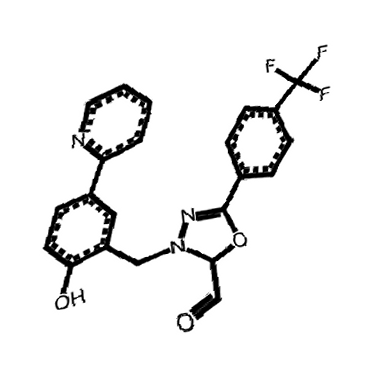 O=CC1OC(c2ccc(C(F)(F)F)cc2)=NN1Cc1cc(-c2ccccn2)ccc1O